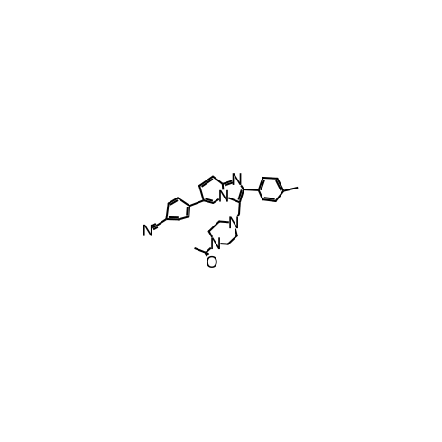 CC(=O)N1CCN(Cc2c(-c3ccc(C)cc3)nc3ccc(-c4ccc(C#N)cc4)cn23)CC1